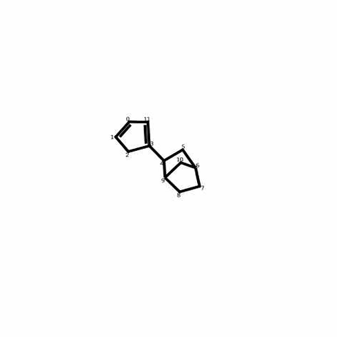 C1=CCC(C2CC3CCC2C3)=C1